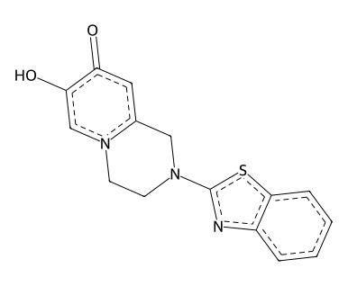 O=c1cc2n(cc1O)CCN(c1nc3ccccc3s1)C2